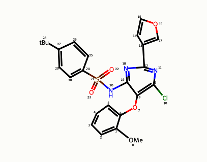 COc1ccccc1Oc1c(Cl)nc(-c2ccoc2)nc1NS(=O)(=O)c1ccc(C(C)(C)C)cc1